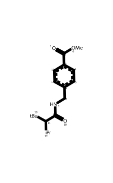 COC(=O)c1ccc(CNC(=O)C(C(C)C)C(C)(C)C)cc1